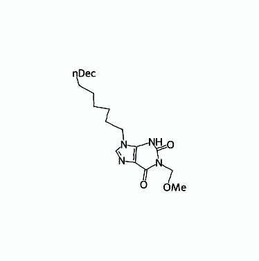 CCCCCCCCCCCCCCCCn1cnc2c(=O)n(COC)c(=O)[nH]c21